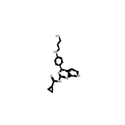 O=C(Nc1nc(-c2ccc(NCCCO)cc2)c2cc[nH]c2n1)C1CC1